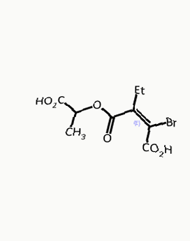 CC/C(C(=O)OC(C)C(=O)O)=C(\Br)C(=O)O